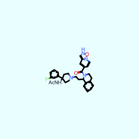 CC(=O)NC1(c2cccc(F)c2)CCN(CCC2c3ccccc3CCN2C(=O)C2=CC3=CNON3C=C2)CC1